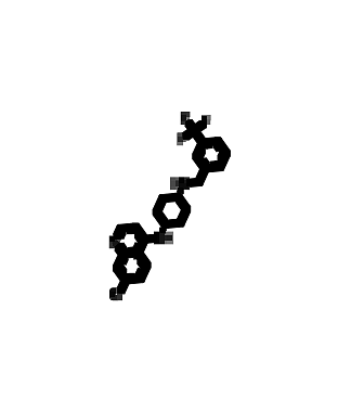 FC(F)(F)c1cccc(CN[C@H]2CC[C@@H](Nc3ccnc4cc(Cl)ccc34)CC2)c1